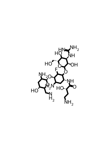 N=C(N)N[C@@H]1C(O)[C@@H](CO)OC(OC2C(F)[C@H](O[C@H]3OC(CN)[C@@H](O)CC3N)C(N)C[C@H]2NC(=O)[C@@H](O)CCN)[C@@H]1O